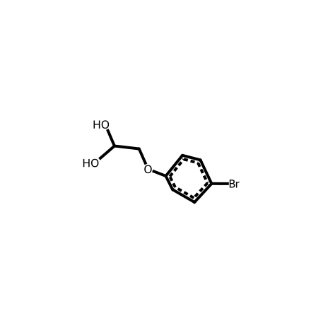 OC(O)COc1ccc(Br)cc1